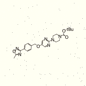 Cc1nc(-c2ccc(COc3cnc(N4CCN(C(=O)OC(C)(C)C)CC4)nc3)cc2)no1